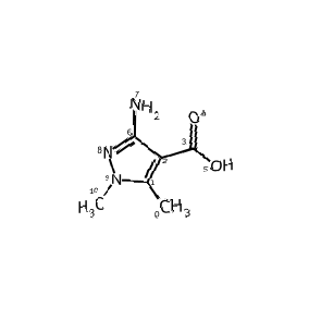 Cc1c(C(=O)O)c(N)nn1C